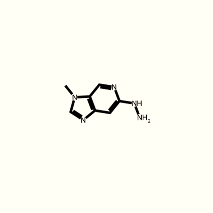 Cn1cnc2cc(NN)ncc21